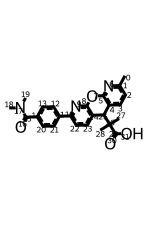 Cc1ccc2c(n1)Oc1nc(-c3ccc(C(=O)N(C)C)cc3)ccc1C2C(C)(C)C(=O)O